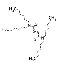 CCCCCCN(CCCCCC)C(=S)SSC(=S)N(CCCCCC)CCCCCC